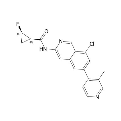 Cc1cnccc1-c1cc(Cl)c2cnc(NC(=O)[C@H]3C[C@H]3F)cc2c1